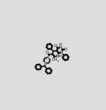 CC1=C(C(=O)N2CCN(C(c3ccccc3)c3ccccc3)CC2)C(c2ccccc2)c2c(n(-c3ccccc3)c(=O)[nH]c2=O)N1